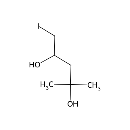 CC(C)(O)CC(O)CI